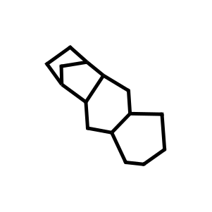 C1CCC2CC3C4CCC(C4)C3CC2C1